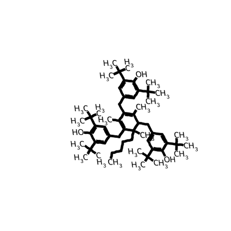 CCCCCC1(C)C(Cc2cc(C(C)(C)C)c(O)c(C(C)(C)C)c2)=C(C)C(Cc2cc(C(C)(C)C)c(O)c(C(C)(C)C)c2)=C(C)C1Cc1cc(C(C)(C)C)c(O)c(C(C)(C)C)c1